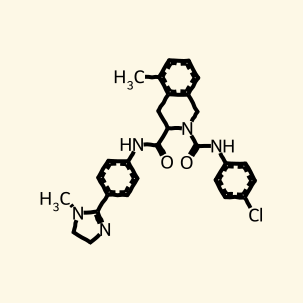 Cc1cccc2c1CC(C(=O)Nc1ccc(C3=NCCN3C)cc1)N(C(=O)Nc1ccc(Cl)cc1)C2